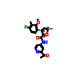 COc1c([C@@H]2C[C@H](C)O[C@H]2C(=O)Nc2ccnc(C(C)=O)c2)ccc(F)c1C